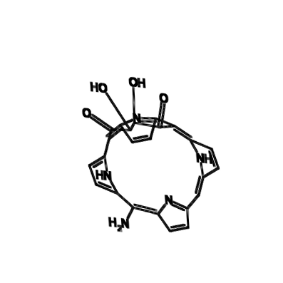 Nc1c2nc(cc3ccc([nH]3)c3c4nc(c(c5ccc1[nH]5)C(=O)C(O)C(O)C3=O)C=C4)C=C2